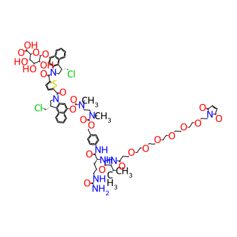 CC(C)[C@H](NC(=O)CCOCCOCCOCCOCCOCCOCCN1C(=O)C=CC1=O)C(=O)N[C@@H](CCCNC(N)=O)C(=O)Nc1ccc(COC(=O)N(C)CCN(C)C(=O)Oc2cc3c(c4ccccc24)[C@H](CCl)CN3C(=O)c2ccc(C(=O)N3C[C@@H](CCl)c4c3cc(O[C@@H]3OC(C(=O)O)[C@@H](O)C(O)[C@@H]3O)c3ccccc43)s2)cc1